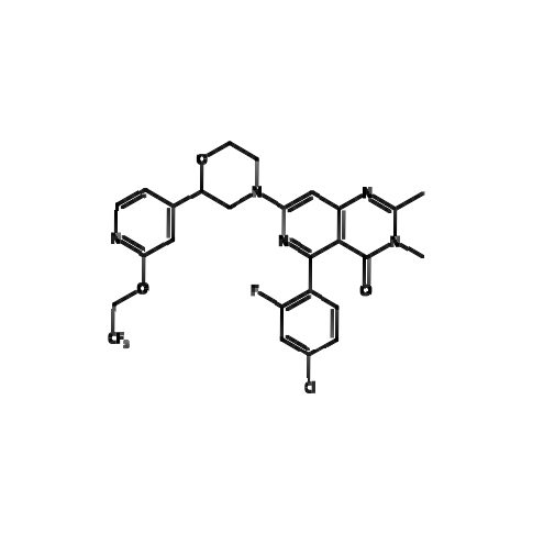 Cc1nc2cc(N3CCOC(c4ccnc(OCC(F)(F)F)c4)C3)nc(-c3ccc(Cl)cc3F)c2c(=O)n1C